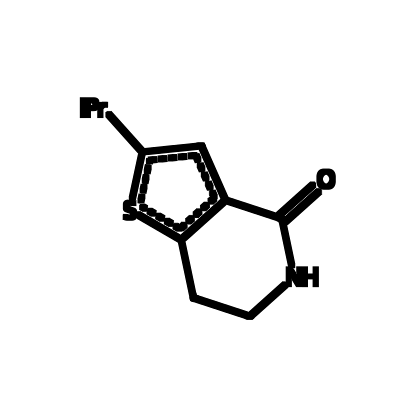 CC(C)c1cc2c(s1)CCNC2=O